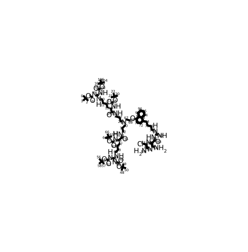 CC(C)(C)OC(=O)/N=C(\NCCCC[C@@H](NC(=O)OC(C)(C)C)C(=O)NCCCN(CCCNC(=O)[C@@H](CCCCN/C(=N\C(=O)OC(C)(C)C)NC(=O)OC(C)(C)C)NC(=O)OC(C)(C)C)CCOc1ccc(CCCCNC(=N)NC(=O)c2nc(Cl)c(N)nc2N)c2ccccc12)NC(=O)OC(C)(C)C